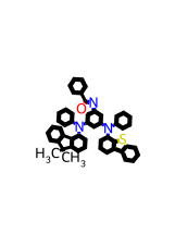 CC1(C)c2ccccc2-c2c(N(c3ccccc3)c3cc(N(c4ccccc4)c4cccc5c4sc4ccccc45)cc4nc(-c5ccccc5)oc34)cccc21